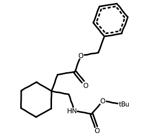 CC(C)(C)OC(=O)NCC1(CC(=O)OCc2ccccc2)CCCCC1